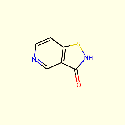 O=c1[nH]sc2ccncc12